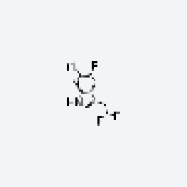 Fc1cc2c(CC(F)F)c[nH]c2nc1Cl